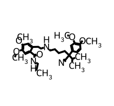 CCCNC(=O)c1cc(OC)c(OC)cc1CCNCCCCC(C#N)(c1ccc(OC)c(OC)c1)C(C)C